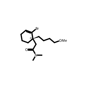 COCCCC[C@@]1(CC(=O)N(C)C)CCCC=C1Br